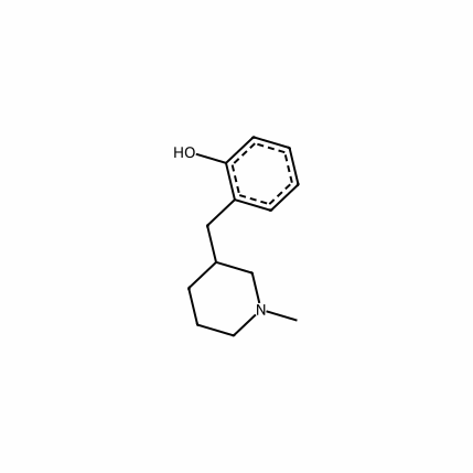 CN1CCCC(Cc2ccccc2O)C1